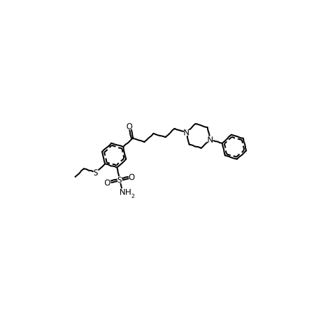 CCSc1ccc(C(=O)CCCCN2CCN(c3ccccc3)CC2)cc1S(N)(=O)=O